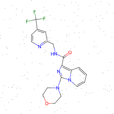 O=C(NCc1cc(C(F)(F)F)ccn1)c1nc(N2CCOCC2)n2ccccc12